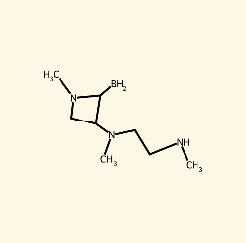 BC1C(N(C)CCNC)CN1C